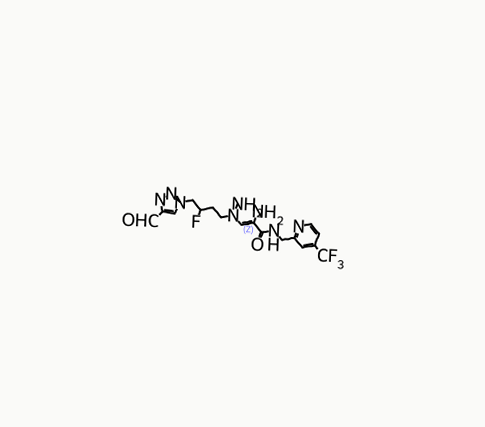 N/C(=C\N(N)CCC(F)Cn1cc(C=O)nn1)C(=O)NCc1cc(C(F)(F)F)ccn1